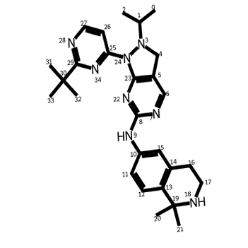 CC(C)N1Cc2cnc(Nc3ccc4c(c3)CCNC4(C)C)nc2N1c1ccnc(C(C)(C)C)n1